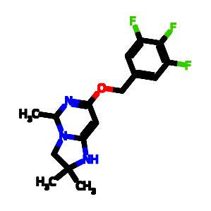 CC1N=C(OCc2cc(F)c(F)c(F)c2)C=C2NC(C)(C)CN21